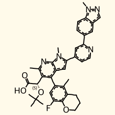 Cc1nc2c(cc(-c3ccnc(-c4ccc5c(cnn5C)c4)c3)n2C)c(-c2cc(F)c3c(c2C)CCCO3)c1[C@H](OC(C)(C)C)C(=O)O